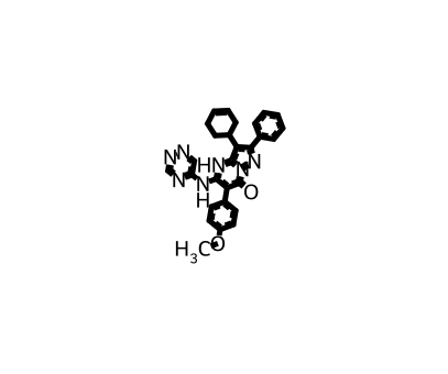 COc1ccc(-c2c(Nc3cnncn3)[nH]c3c(C4CC=CCC4)c(-c4ccccc4)nn3c2=O)cc1